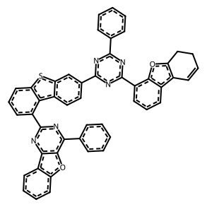 C1=Cc2c(oc3c(-c4nc(-c5ccccc5)nc(-c5ccc6c(c5)sc5cccc(-c7nc(-c8ccccc8)c8oc9ccccc9c8n7)c56)n4)cccc23)CC1